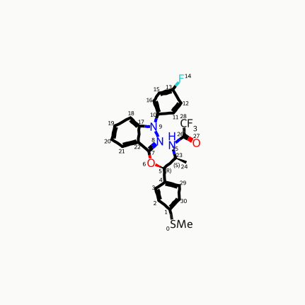 CSc1ccc([C@@H](Oc2nn(-c3ccc(F)cc3)c3ccccc23)[C@H](C)NC(=O)C(F)(F)F)cc1